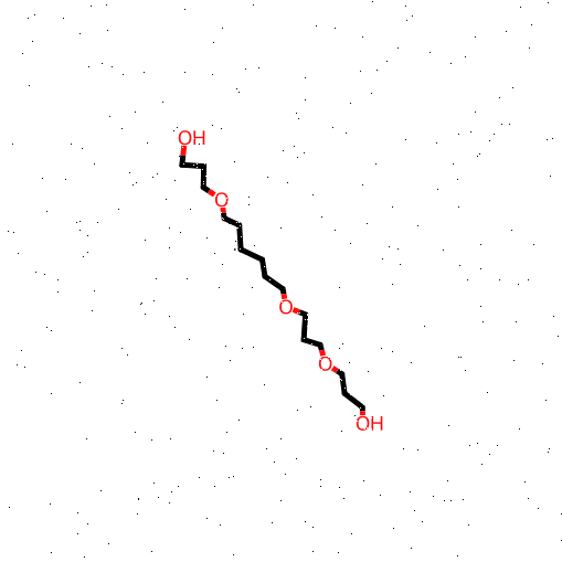 OCCCOCC[CH]CCCOCCCOCCCO